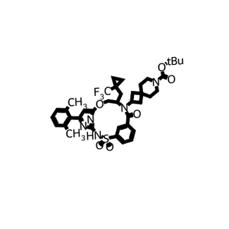 Cc1cccc(C)c1-c1cc2nc(n1)NS(=O)(=O)c1cccc(c1)C(=O)N(C1CC3(CCN(C(=O)OC(C)(C)C)CC3)C1)C(CC1(C(F)(F)F)CC1)CO2